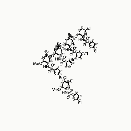 COc1nc(Br)cnc1NS(=O)(=O)c1ccc(Br)s1.COc1nc(Br)cnc1NS(=O)(=O)c1ccsc1.COc1nc(Br)cnc1NS(=O)(=O)c1sc(Cl)cc1Br.COc1nc(Cl)c(Cl)nc1NS(=O)(=O)c1ccc(Cl)s1.COc1ncc(Cl)nc1NS(=O)(=O)c1ccc(Cl)s1